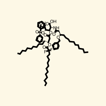 CCCCCCCCCCCCC(F)(F)C(=O)O[C@H](CCCCCCCCCCC)CC(=O)O[C@H]1[C@H](OP(=O)(c2ccccc2)c2ccccc2)[C@@H](CO)OC(O)[C@@H]1NC(=O)C[C@@H](CCCCCCCCCCC)OCc1ccccc1